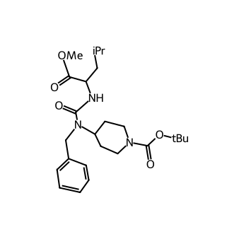 COC(=O)C(CC(C)C)NC(=O)N(Cc1ccccc1)C1CCN(C(=O)OC(C)(C)C)CC1